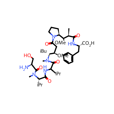 CC[C@H](C)[C@@H]([C@@H](CC(=O)N1CCC[C@H]1[C@H](OC)[C@@H](C)C(=O)N[C@@H](Cc1ccccc1)C(=O)O)OC)N(C)C(=O)C(NC(=O)[C@H](C(C)C)N(C)C(=O)[C@@H](N)CO)C(C)C